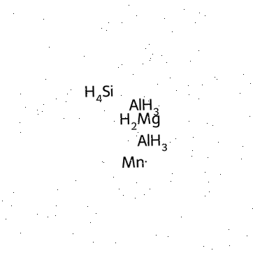 [AlH3].[AlH3].[MgH2].[Mn].[SiH4]